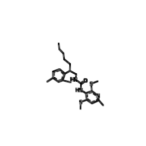 CCCCCC(CNC(=O)Nc1c(SC)cc(C)nc1SC)c1ccc(C)cc1C